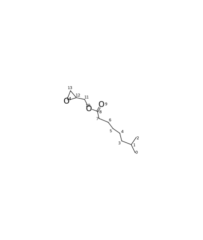 CC(C)CCCCCC(=O)OCC1CO1